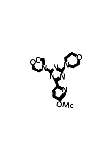 COc1ccc(-c2nc(N3CCOCC3)nc(N3CCOCC3)n2)nc1